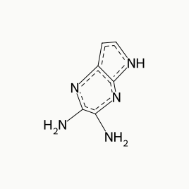 Nc1nc2cc[nH]c2nc1N